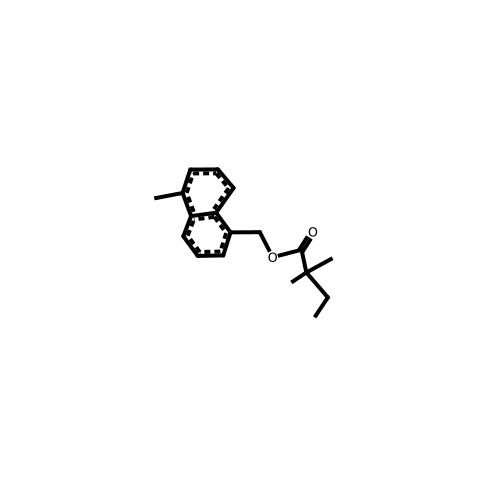 CCC(C)(C)C(=O)OCc1cccc2c(C)cccc12